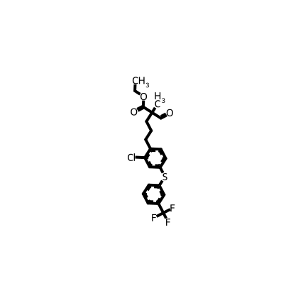 CCOC(=O)C(C)(C=O)CCCc1ccc(Sc2cccc(C(F)(F)F)c2)cc1Cl